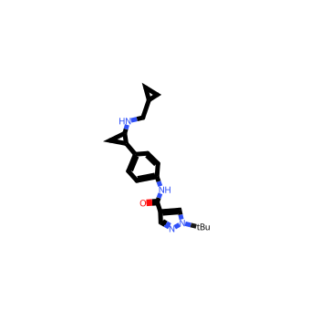 CC(C)(C)n1cc(C(=O)Nc2ccc(C3CC3NCC3CC3)cc2)cn1